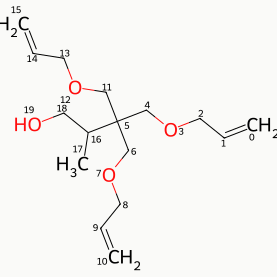 C=CCOCC(COCC=C)(COCC=C)C(C)CO